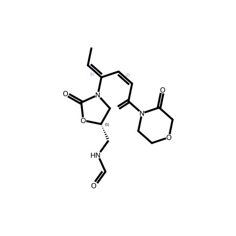 C=C(/C=C\C(=C/C)N1C[C@H](CNC=O)OC1=O)N1CCOCC1=O